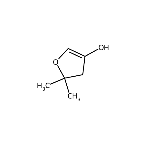 CC1(C)CC(O)=CO1